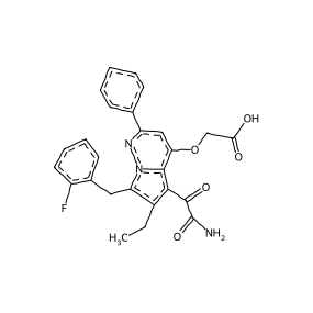 CCc1c(C(=O)C(N)=O)c2c(OCC(=O)O)cc(-c3ccccc3)nn2c1Cc1ccccc1F